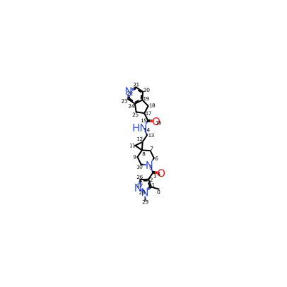 Cc1c(C(=O)N2CCC3(CC2)CC3CNC(=O)C2Cc3ccncc3C2)cnn1C